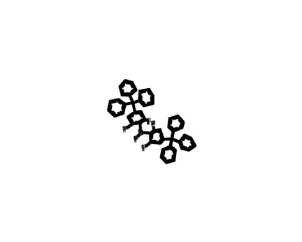 FB(c1c(F)cc(C(c2ccccc2)(c2ccccc2)c2ccccc2)cc1F)c1c(F)cc(C(c2ccccc2)(c2ccccc2)c2ccccc2)cc1F